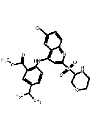 COC(=O)c1cc(C(C)C)ccc1Nc1cc(S(=O)(=O)C2COCCN2)nc2ccc(Cl)cc12